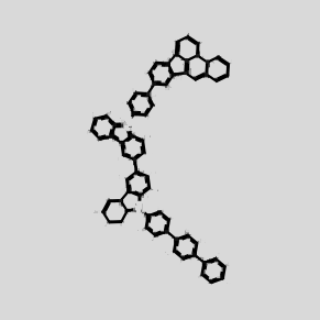 C1=CC2=CC3=C4C(=CC=CC4C2C=C1)c1ccc(-c2ccc(-n4c5ccccc5c5cc(-c6ccc7c(c6)C6C=CCCC6N7c6ccc(-c7ccc(-c8ccccc8)cc7)cc6)ccc54)cc2)cc13